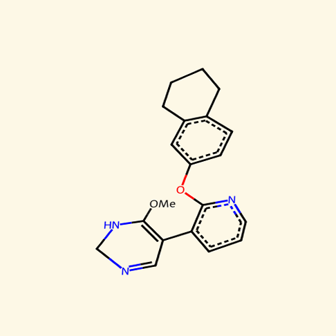 COC1=C(c2cccnc2Oc2ccc3c(c2)CCCC3)C=NCN1